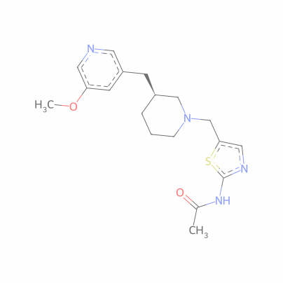 COc1cncc(C[C@@H]2CCCN(Cc3cnc(NC(C)=O)s3)C2)c1